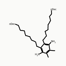 CCCCCCCCCCCCCCCCCCc1c(N)c(C)c(C)c(N)c1CCCCCCCCCCCCCCCCCC